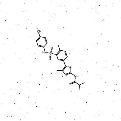 Cc1ccc(-c2sc(NC(=O)C(C)C)nc2C)cc1S(=O)(=O)Nc1ccc(O)cc1